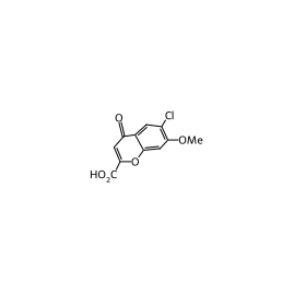 COc1cc2oc(C(=O)O)cc(=O)c2cc1Cl